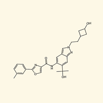 Cc1cccc(-c2nc(C(=O)Nc3cc4cn(CCC5CC(O)C5)nc4cc3C(C)(C)O)co2)c1